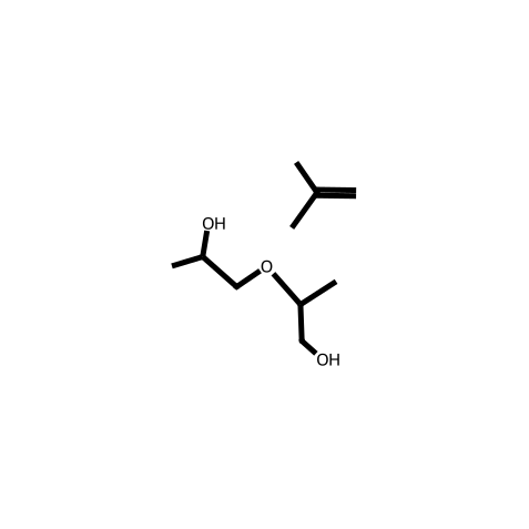 C=C(C)C.CC(O)COC(C)CO